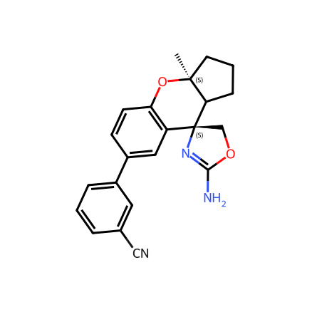 C[C@]12CCCC1[C@@]1(COC(N)=N1)c1cc(-c3cccc(C#N)c3)ccc1O2